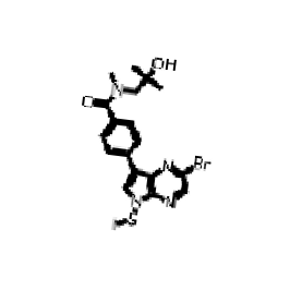 CN(CC(C)(C)O)C(=O)c1ccc(-c2cn(SI)c3ncc(Br)nc23)cc1